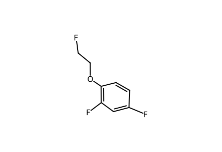 FCCOc1ccc(F)cc1F